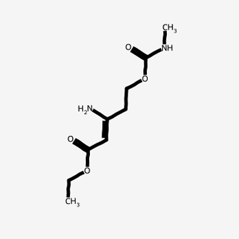 CCOC(=O)C=C(N)CCOC(=O)NC